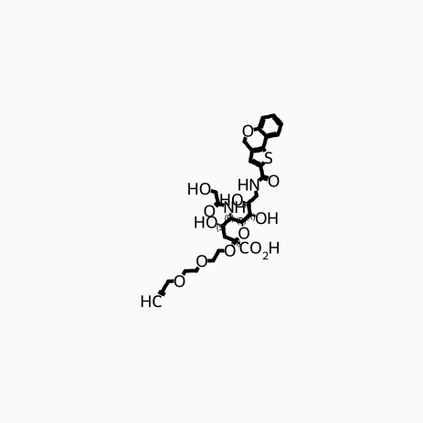 C#CCOCCOCCO[C@]1(C(=O)O)C[C@H](O)[C@@H](NC(=O)CO)[C@H]([C@H](O)[C@H](O)CNC(=O)c2cc3c(s2)-c2ccccc2OC3)O1